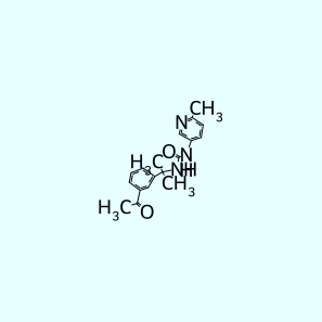 CC(=O)c1cccc(C(C)(C)NC(=O)Nc2ccc(C)nc2)c1